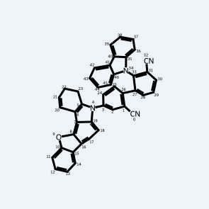 N#Cc1cc(-n2c3c(c4c5oc6ccccc6c5ccc42)C=CCC3)ccc1-c1cccc(C#N)c1-n1c2ccccc2c2ccccc21